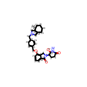 O=C1CCC(N2Cc3c(OCc4ccc(CN5CC6CCCC[C@@H]6C5)cc4)cccc3C2=O)C(=O)N1